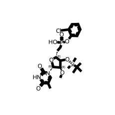 CO[C@@H]1C(O[Si](C)(C)C(C)(C)C)[C@@H](CCP(=O)(O)Oc2ccccc2Cl)O[C@H]1n1cc(C)c(=O)[nH]c1=O